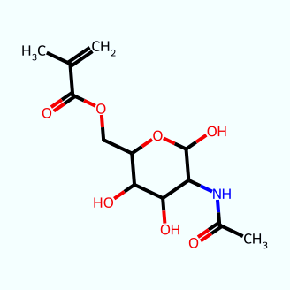 C=C(C)C(=O)OCC1OC(O)C(NC(C)=O)C(O)C1O